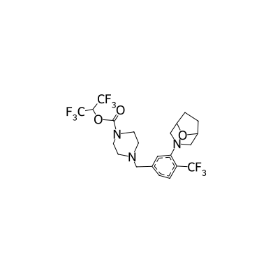 O=C(OC(C(F)(F)F)C(F)(F)F)N1CCN(Cc2ccc(C(F)(F)F)c(N3CC4CCC(C3)O4)c2)CC1